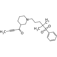 CC#CC(=O)C1CCCN(CCCC(C)(C)S(=O)(=O)c2ccccc2)C1